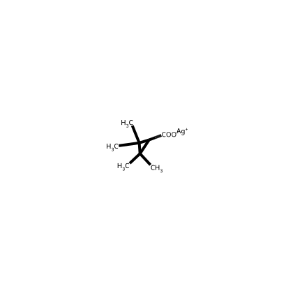 CC1(C)C(C(=O)[O-])C1(C)C.[Ag+]